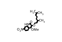 COc1c(OCC=C(C)CCC=C(C)C)c(=O)[nH]c2cc([N+](=O)[O-])ccc12